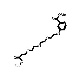 COC(=O)c1cccc(OCCOCCOCCOCCC(=O)OC(C)(C)C)c1